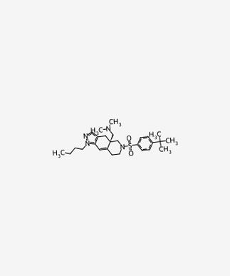 CCCCn1ncc2c1C=C1CCN(S(=O)(=O)c3ccc(C(C)(C)C)cc3)C[C@@]1(CN(C)C)C2